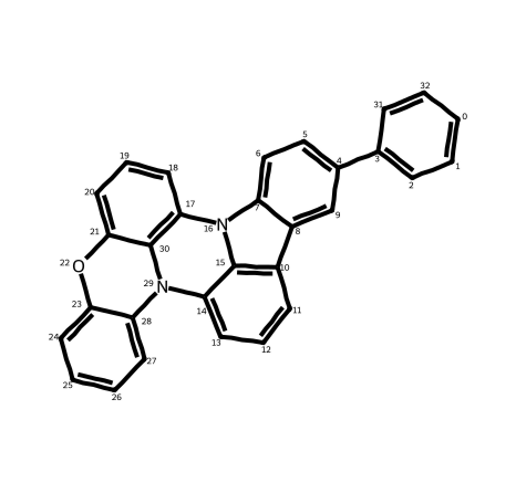 c1ccc(-c2ccc3c(c2)c2cccc4c2n3c2cccc3oc5ccccc5n4-c32)cc1